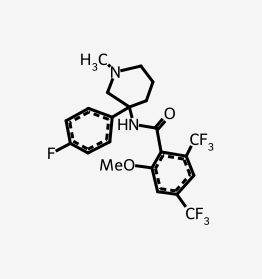 COc1cc(C(F)(F)F)cc(C(F)(F)F)c1C(=O)NC1(c2ccc(F)cc2)CCCN(C)C1